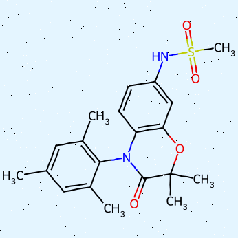 Cc1cc(C)c(N2C(=O)C(C)(C)Oc3cc(NS(C)(=O)=O)ccc32)c(C)c1